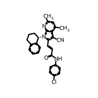 Cc1cc(C)c2c(C#N)c(/C=C/C(=O)Nc3ccc(Cl)cc3)n([C@H]3CCCc4ccccc43)c2n1